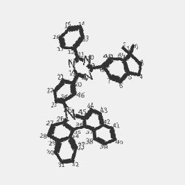 CC1(C)CCc2ccc(-c3nc(-c4ccccc4)nc(-c4cccc(-n5c6ccc7ccccc7c6c6c7ccccc7ccc65)c4)n3)cc21